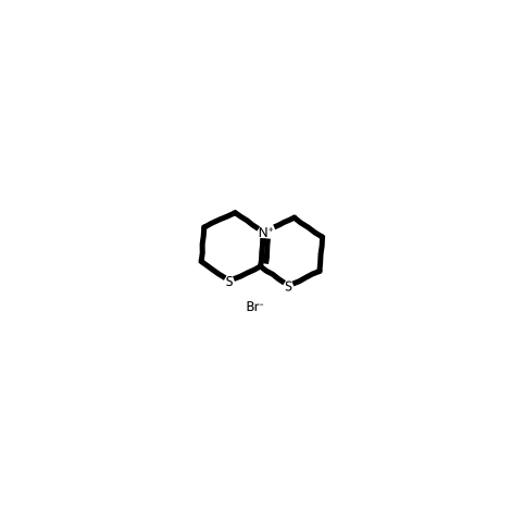 C1CSC2=[N+](C1)CCCS2.[Br-]